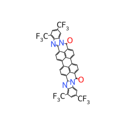 O=c1c2ccc3c4ccc5c(=O)n6c7cc(C(F)(F)F)cc(C(F)(F)F)c7nc6c6ccc(c7ccc(c2c37)c2nc3c(C(F)(F)F)cc(C(F)(F)F)cc3n12)c4c56